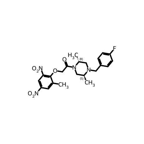 Cc1cc([N+](=O)[O-])cc([N+](=O)[O-])c1OCC(=O)N1C[C@H](C)N(Cc2ccc(F)cc2)C[C@H]1C